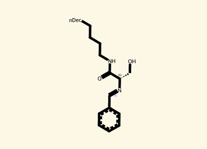 CCCCCCCCCCCCCCNC(=O)[C@H](CO)/N=C/c1ccccc1